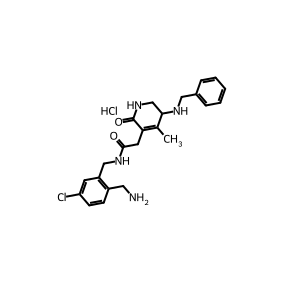 CC1=C(CC(=O)NCc2cc(Cl)ccc2CN)C(=O)NCC1NCc1ccccc1.Cl